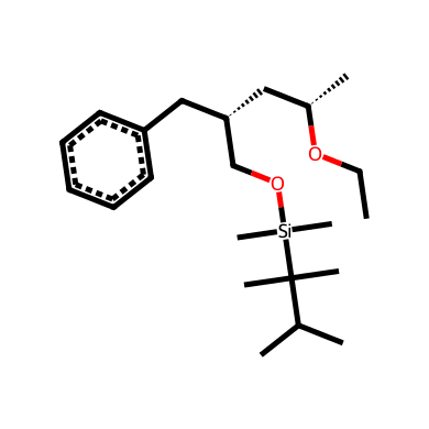 CCO[C@@H](C)C[C@H](CO[Si](C)(C)C(C)(C)C(C)C)Cc1ccccc1